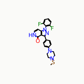 CSN1CCN(c2ccc(-c3nn(-c4c(F)cccc4F)c4cc[nH]c(=O)c34)cc2)CC1